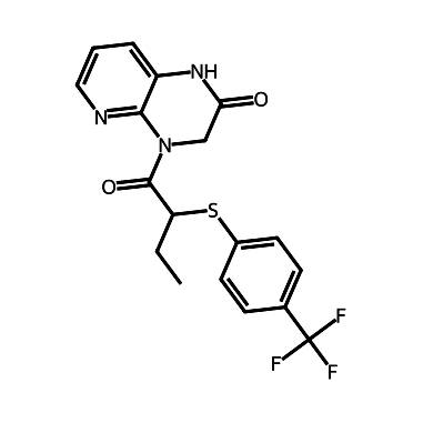 CCC(Sc1ccc(C(F)(F)F)cc1)C(=O)N1CC(=O)Nc2cccnc21